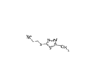 Cc1nnc(SCCC#N)s1